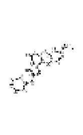 Nc1ccc(Oc2ccnc3cc(CN4CCOCC4)sc23)c(F)c1